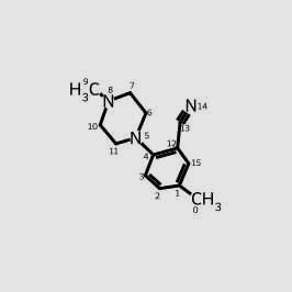 Cc1ccc(N2CCN(C)CC2)c(C#N)c1